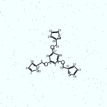 c1csc(COc2cc(OCc3cccs3)cc(OCc3cccs3)c2)c1